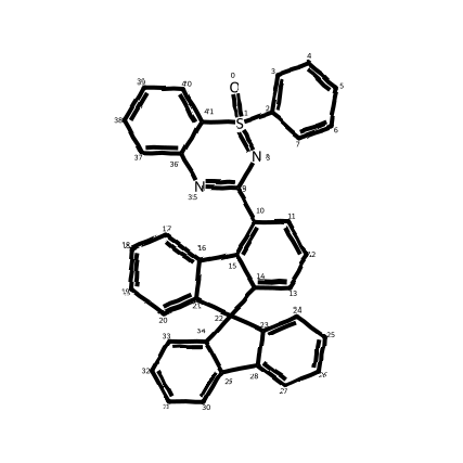 O=S1(c2ccccc2)=NC(c2cccc3c2-c2ccccc2C32c3ccccc3-c3ccccc32)=Nc2ccccc21